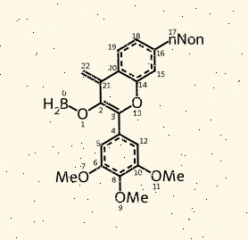 BOC1=C(c2cc(OC)c(OC)c(OC)c2)Oc2cc(CCCCCCCCC)ccc2C1=C